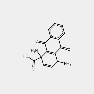 NC1C=CC(N)(C(=O)O)C2=C1C(=O)c1ccccc1C2=O